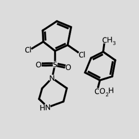 Cc1ccc(C(=O)O)cc1.O=S(=O)(c1c(Cl)cccc1Cl)N1CCNCC1